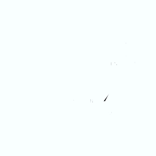 O=C1N[C@]2(CO1)C[C@H](C(=O)N1CC3(CC(C4CCCCC4)C3)C1)C2